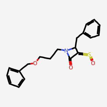 O=S=C1C(=O)N(CCCOCc2ccccc2)C1Cc1ccccc1